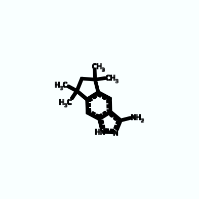 CC1(C)CC(C)(C)c2cc3c(N)n[nH]c3cc21